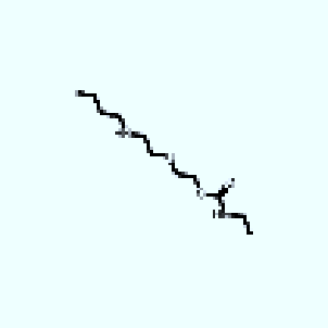 CCCCNCCOCCOC(=O)NCC